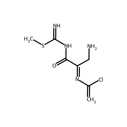 C=C(Cl)/N=C(\CN)C(=O)NC(=N)SC